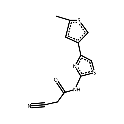 Cc1cc(-c2csc(NC(=O)CC#N)n2)cs1